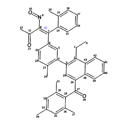 CCc1c(-c2cc(/C(=C(/N=O)C(C)=O)c3ccccc3C)ccc2C)cc(C(=O)c2c(C)cc(C)cc2C)c2ccccc12